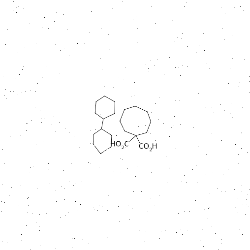 C1CCC(C2CCCCC2)CC1.O=C(O)C1(C(=O)O)CCCCCCC1